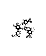 COc1ccc(N)c(C(=O)CC(C)=O)c1.Nc1ccc([N+](=O)[O-])cc1OCOc1cc([N+](=O)[O-])ccc1N